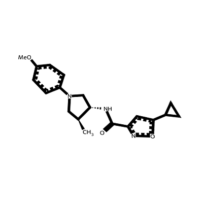 COc1ccc(N2C[C@H](NC(=O)c3cc(C4CC4)on3)[C@@H](C)C2)cc1